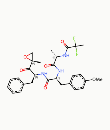 COc1ccc(C[C@H](NC(=O)[C@H](C)NC(=O)C(C)(F)F)C(=O)N[C@@H](Cc2ccccc2)C(=O)[C@@]2(C)CO2)cc1